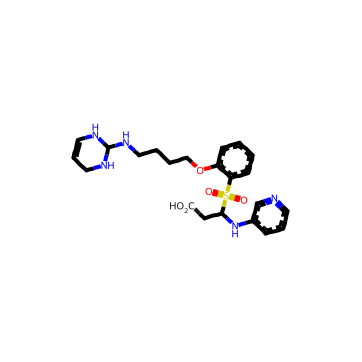 O=C(O)CC(Nc1cccnc1)S(=O)(=O)c1ccccc1OCCCCNC1NC=CCN1